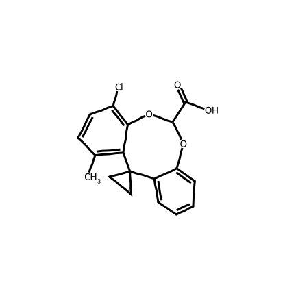 Cc1ccc(Cl)c2c1C1(CC1)c1ccccc1OC(C(=O)O)O2